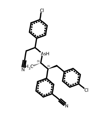 C[C@H]([AsH]C(CC#N)c1ccc(Cl)cc1)[C@@H](Cc1ccc(Cl)cc1)c1cccc(C#N)c1